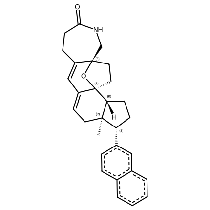 C[C@]12CC=C3C=C4CCC(=O)NC[C@]45CC[C@]3(O5)[C@@H]1CC[C@@H]2c1ccc2ccccc2c1